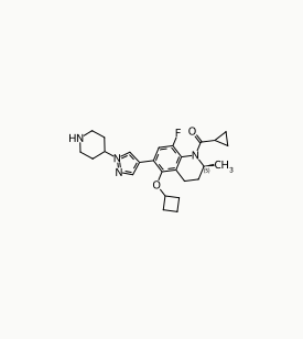 C[C@H]1CCc2c(OC3CCC3)c(-c3cnn(C4CCNCC4)c3)cc(F)c2N1C(=O)C1CC1